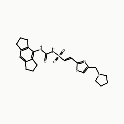 O=C(Nc1c2c(cc3c1CCC3)CCC2)NS(=O)(=O)/C=C/c1nc(CN2CCCC2)cs1